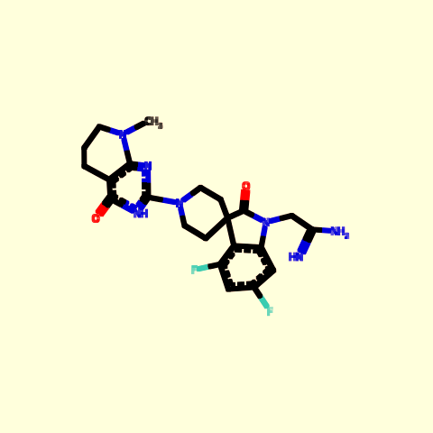 CN1CCCc2c1nc(N1CCC3(CC1)C(=O)N(CC(=N)N)c1cc(F)cc(F)c13)[nH]c2=O